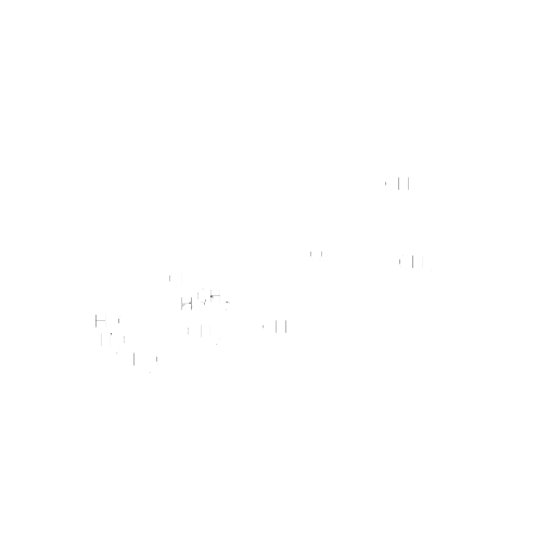 C=C.C=C=C.C=CCl.CC(C)COCC(C)C